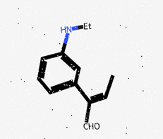 C/C=C(/C=O)c1cccc(NCC)c1